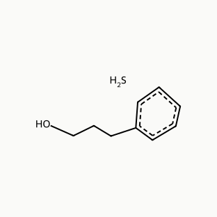 OCCCc1ccccc1.S